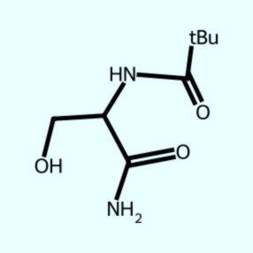 CC(C)(C)C(=O)NC(CO)C(N)=O